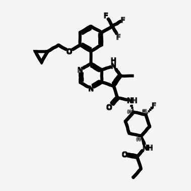 CCC(=O)N[C@H]1CC[C@H](NC(=O)c2c(C)[nH]c3c(-c4cc(C(F)(F)F)ccc4OCC4CC4)ncnc23)[C@H](F)C1